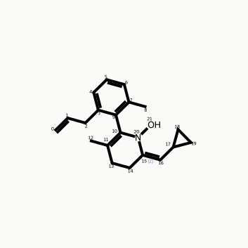 C=CCc1cccc(C)c1C1=C(C)CC/C(=C/C2CC2)N1O